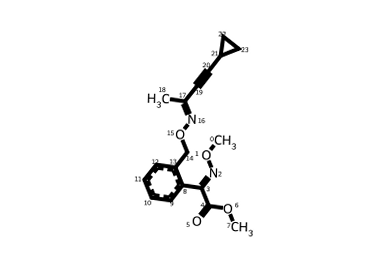 CO/N=C(/C(=O)OC)c1ccccc1CO/N=C(\C)C#CC1CC1